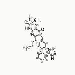 CCCCc1nc2n(c(=O)c1Cc1ccc(-c3ccccc3-c3nnn[nH]3)cc1)CC(C)(C)C(=O)N2